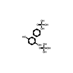 O=P(O)(O)O.O=P(O)(O)O.Oc1ccc(O)cc1.c1ccccc1